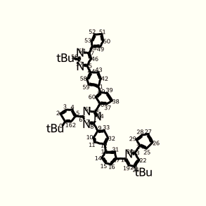 CC(C)(C)c1cccc(-c2nc(-c3ccc(-c4cccc(-c5cc(C(C)(C)C)cc(-c6ccccc6)n5)c4)cc3)nc(-c3cccc(-c4ccc(-c5cc(-c6ccccc6)nc(C(C)(C)C)n5)cc4)c3)n2)c1